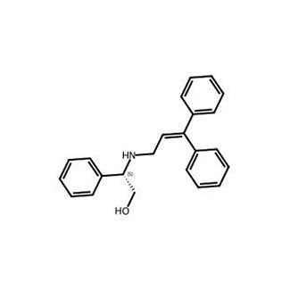 OC[C@@H](NCC=C(c1ccccc1)c1ccccc1)c1ccccc1